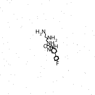 NCC[C@H](N)CNC(=O)c1nc2cc(-c3ccc(F)cc3)ccc2[nH]1